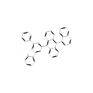 c1ccc(-c2cc(-c3c4ccccc4c(-c4cccc5ccccc45)c4ccccc34)cc3c2oc2ccccc23)cc1